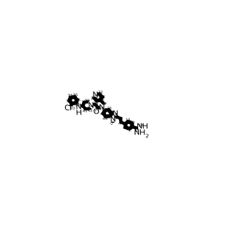 Cn1c(CCc2ccc(C(=N)N)cc2)nc2cc(N(Cc3ccncc3)C(=O)CN3CCC(Nc4ccccc4Cl)CC3)ccc21